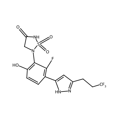 O=C1CN(c2c(O)ccc(-c3cc(CCC(F)(F)F)n[nH]3)c2F)S(=O)(=O)N1